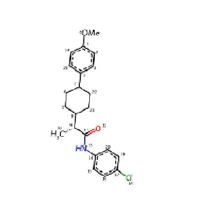 COc1ccc(C2CCC([C@@H](C)C(=O)Nc3ccc(Cl)cc3)CC2)cc1